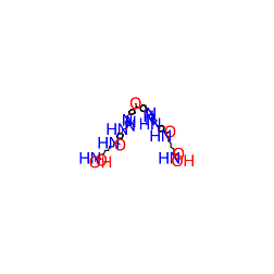 O=C(CCCCCCNC(=O)c1ccc(NCc2cn(Cc3ccc(C(=O)c4ccc(Cn5cc(CNc6ccc(C(=O)NCCCCCCC(=O)NO)cc6)nn5)cc4)cc3)nn2)cc1)NO